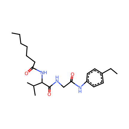 CCCCCCC(=O)NC(C(=O)NCC(=O)Nc1ccc(CC)cc1)C(C)C